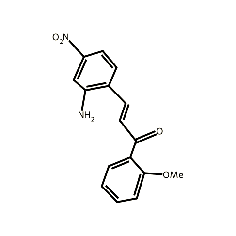 COc1ccccc1C(=O)/C=C/c1ccc([N+](=O)[O-])cc1N